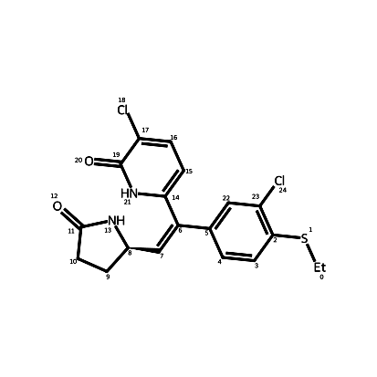 CCSc1ccc(/C(=C/[C@H]2CCC(=O)N2)c2ccc(Cl)c(=O)[nH]2)cc1Cl